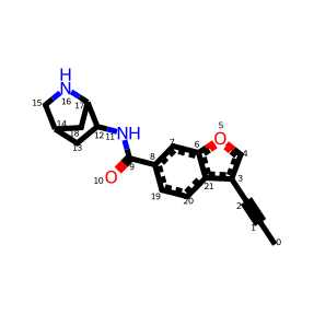 CC#Cc1coc2cc(C(=O)NC3CC4CNC3C4)ccc12